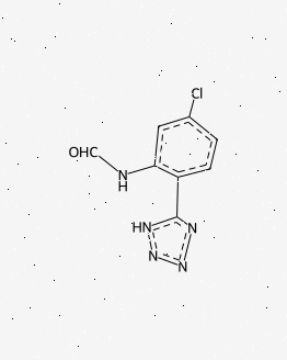 O=CNc1cc(Cl)ccc1-c1nnn[nH]1